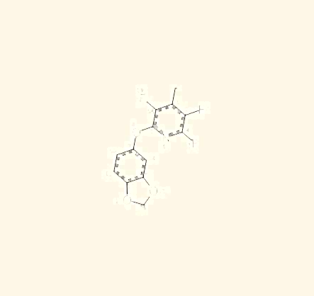 Cc1c(F)c(F)nc(Oc2ccc3c(c2)OCO3)c1F